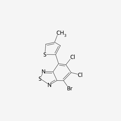 Cc1csc(-c2c(Cl)c(Cl)c(Br)c3nsnc23)c1